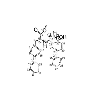 COC(=O)[C@H](Cc1ccc(-c2ccccc2)cc1)NC(=O)C1C=C(c2ccccc2)C=CC1(N)O